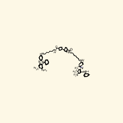 C=C1C=C(NCCCCCCNC(=O)c2ccc(-c3ccc(C(=O)NCCCCCCNc4ccc5nc6cc(C)c(N)cc6[n+](-c6ccccc6)c5c4)cc3)cc2)C=C/C1=N/c1cc(C)c(N)cc1Nc1ccccc1